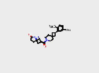 COc1ccc(C(C)(C)C)cc1C1CC2(CCN(C(=O)C3CC4(CCC(=O)N4)C3)CC2)C1